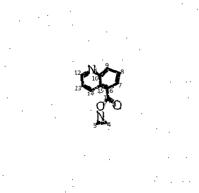 O=C(ON1CC1)c1cccc2ncccc12